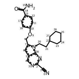 N#Cc1ncc2cc(COc3ccc(C(N)=O)cc3)n(CCC3CCCCC3)c2n1